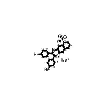 O=S(=O)([O-])c1cccc2cc3nc(-c4ccc(Br)cc4)c(-c4ccc(Br)cc4)nc3cc12.[Na+]